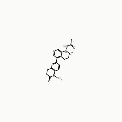 CCC(=O)N[C@@H]1c2cncc(-c3ccc4c(c3)CCC(=O)N4C)c2CC[C@H]1F